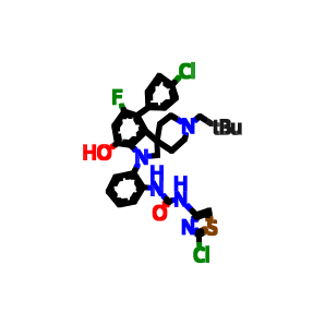 CC(C)(C)CN1CCC2(CC1)CN(c1ccccc1NC(=O)Nc1csc(Cl)n1)c1c(O)cc(F)c(-c3ccc(Cl)cc3)c12